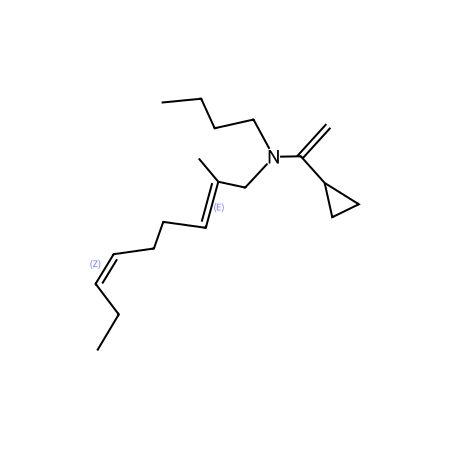 C=C(C1CC1)N(CCCC)C/C(C)=C/CC/C=C\CC